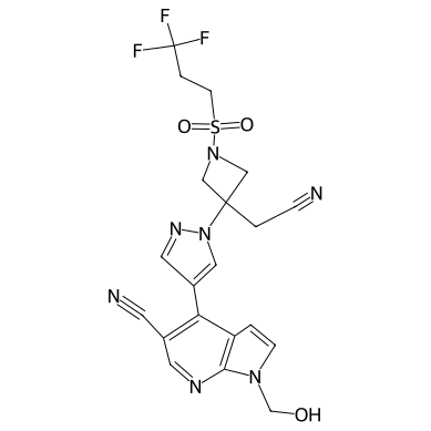 N#CCC1(n2cc(-c3c(C#N)cnc4c3ccn4CO)cn2)CN(S(=O)(=O)CCC(F)(F)F)C1